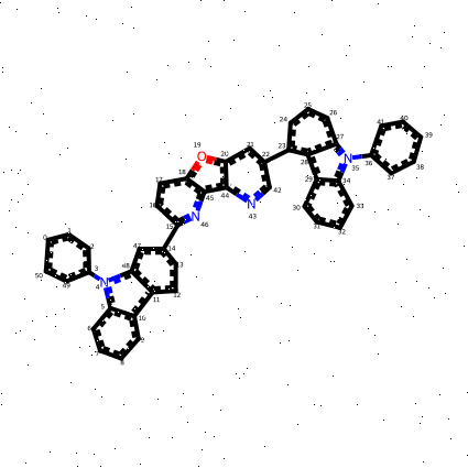 c1ccc(-n2c3ccccc3c3ccc(-c4ccc5oc6cc(-c7cccc8c7c7ccccc7n8-c7ccccc7)cnc6c5n4)cc32)cc1